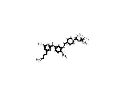 CCCCc1cc(C)nc(Nc2ccc(OC)c(OCC3CCN(C(=O)OC(C)(C)C)CC3)c2)n1